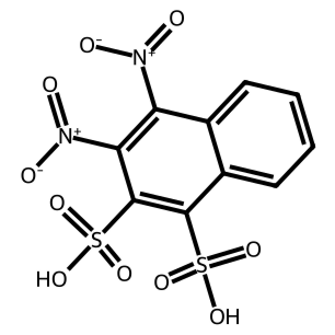 O=[N+]([O-])c1c(S(=O)(=O)O)c(S(=O)(=O)O)c2ccccc2c1[N+](=O)[O-]